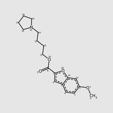 COc1ccc2cc(C(=O)OCCCCN3CCCC3)oc2c1